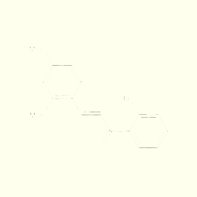 COc1ccc(/C=C/C(=O)c2ccccc2Br)c(OC)c1